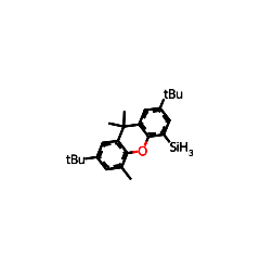 Cc1cc(C(C)(C)C)cc2c1Oc1c([SiH3])cc(C(C)(C)C)cc1C2(C)C